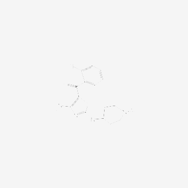 CC(=O)N1CCC(Nc2nc(N)c(C(=O)c3ccccc3Cl)s2)CC1